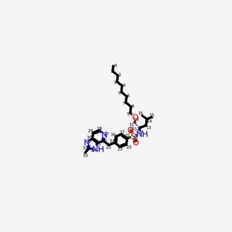 CCCCCCCCCCOC[C@H](CC(C)C)NS(=O)(=O)c1ccc(Cc2nccc3nc(C)[nH]c23)cc1